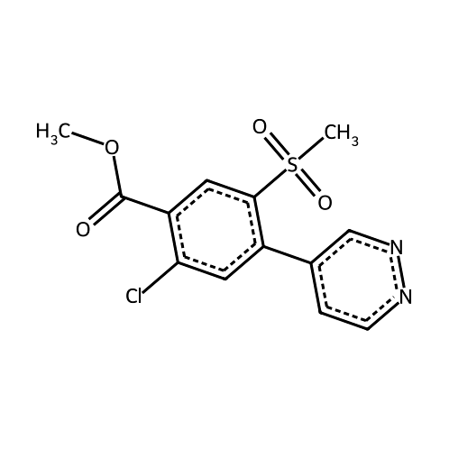 COC(=O)c1cc(S(C)(=O)=O)c(-c2ccnnc2)cc1Cl